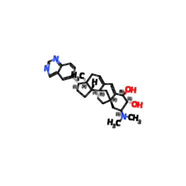 CN(C)[C@H]1C[C@@]23CC[C@@]4(C2)C(=CC[C@]2(C)[C@@H](c5ccc6ncncc6c5)CC[C@@H]42)C=C3[C@@H](O)[C@@H]1O